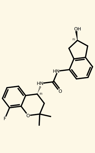 CC1(C)C[C@@H](NC(=O)Nc2cccc3c2C[C@@H](O)C3)c2cccc(F)c2O1